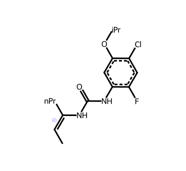 C/C=C(/CCC)NC(=O)Nc1cc(OC(C)C)c(Cl)cc1F